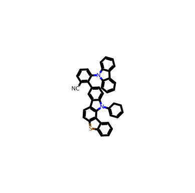 N#Cc1cccc(-n2c3ccccc3c3ccccc32)c1-c1ccc2c(c1)c1ccc3sc4ccccc4c3c1n2C1=CC=CCC1